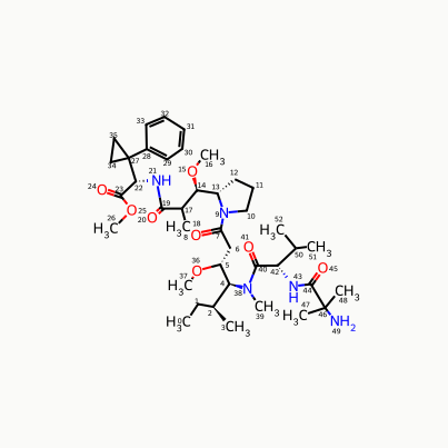 CC[C@H](C)[C@@H]([C@@H](CC(=O)N1CCC[C@H]1[C@H](OC)C(C)C(=O)N[C@H](C(=O)OC)C1(c2ccccc2)CC1)OC)N(C)C(=O)[C@@H](NC(=O)C(C)(C)N)C(C)C